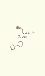 CCOC(=O)C(C=CC(C)(C)C)NC(=O)c1cccc(-c2cccs2)c1